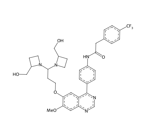 COc1cc2ncnc(-c3ccc(NC(=O)Cc4ccc(C(F)(F)F)cc4)cc3)c2cc1OCCC(N1CCC1CO)N1CCC1CO